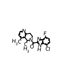 Cc1ccnc2c1C(C)N(C(=O)c1nc3c(F)ccc(Cl)c3[nH]1)CC2